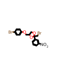 O=[N+]([O-])c1cccc(C2(CBr)OCC(COc3ccc(Br)cc3)O2)c1